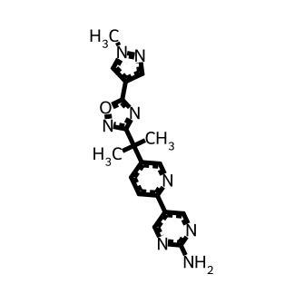 Cn1cc(-c2nc(C(C)(C)c3ccc(-c4cnc(N)nc4)nc3)no2)cn1